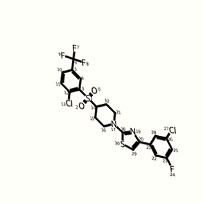 O=S(=O)(c1cc(C(F)(F)F)ccc1Cl)C1CCN(c2nc(-c3cc(F)cc(Cl)c3)cs2)CC1